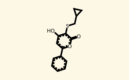 O=c1oc(-c2ccccc2)cc(O)c1SCC1CC1